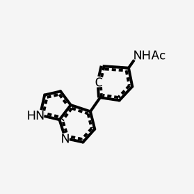 CC(=O)Nc1ccc(-c2ccnc3[nH]ccc23)cc1